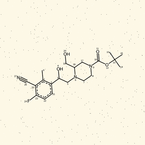 Cc1c(C(O)CN2CCN(C(=O)OC(C)(C)C)CC2CO)ccc(F)c1C#N